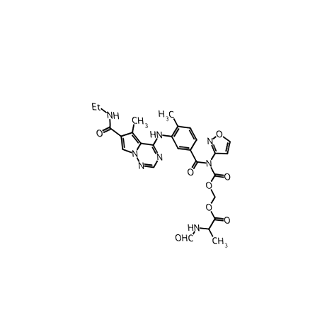 CCNC(=O)c1cn2ncnc(Nc3cc(C(=O)N(C(=O)OCOC(=O)C(C)NC=O)c4ccon4)ccc3C)c2c1C